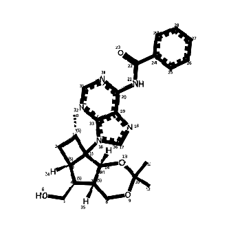 C[C@H]1C[C@H]2[C@H](CO)[C@H]3COC(C)(C)O[C@H]3C12n1cnc2c(NC(=O)c3ccccc3)ncnc21